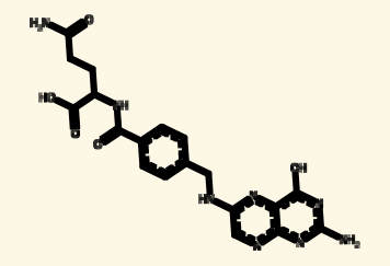 NC(=O)CCC(NC(=O)c1ccc(CNc2cnc3nc(N)nc(O)c3n2)cc1)C(=O)O